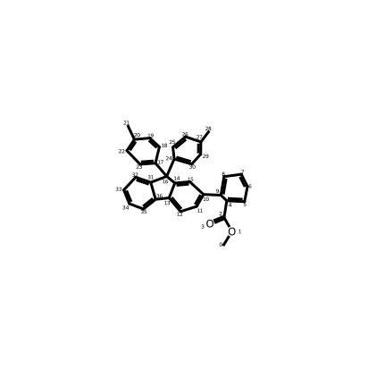 COC(=O)c1ccccc1-c1ccc2c(c1)C(c1ccc(C)cc1)(c1ccc(C)cc1)c1ccccc1-2